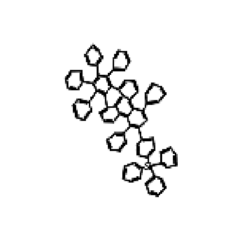 c1ccc(-c2c(-c3ccccc3)c(-c3ccccc3)c3c4cccc5c6c(-c7ccccc7)c(-c7ccc([Si](c8ccccc8)(c8ccccc8)c8ccccc8)cc7)cc(-c7ccccc7)c6c6cccc(c3c2-c2ccccc2)c6c54)cc1